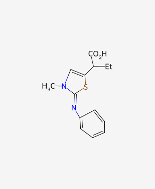 CCC(C(=O)O)c1cn(C)c(=Nc2ccccc2)s1